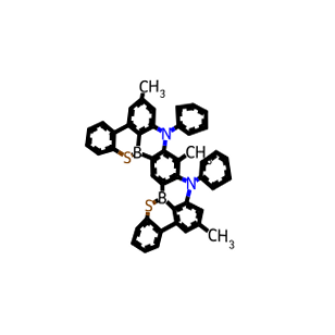 Cc1cc2c3c(c1)N(c1ccccc1)c1c(cc4c(c1C)N(c1ccccc1)c1cc(C)cc5c1B4Sc1ccccc1-5)B3Sc1ccccc1-2